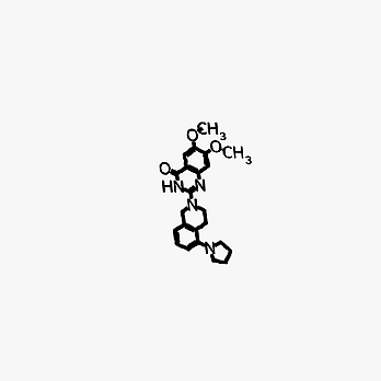 COc1cc2nc(N3CCc4c(cccc4N4CCCC4)C3)[nH]c(=O)c2cc1OC